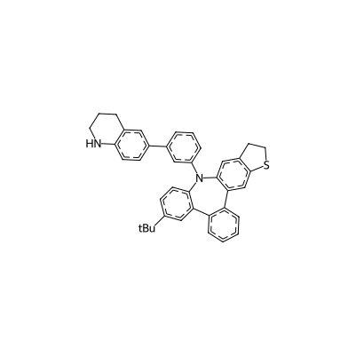 CC(C)(C)c1ccc2c(c1)-c1ccccc1-c1cc3c(cc1N2c1cccc(-c2ccc4c(c2)CCCN4)c1)CCS3